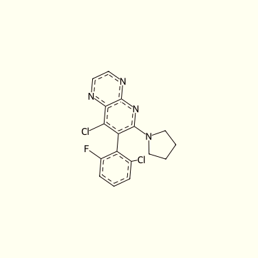 Fc1cccc(Cl)c1-c1c(N2CCCC2)nc2nccnc2c1Cl